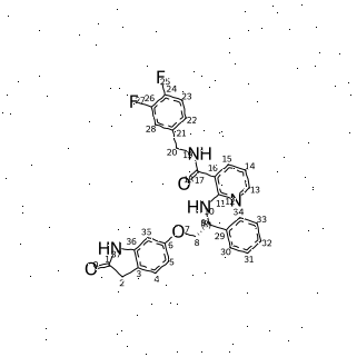 O=C1Cc2ccc(OC[C@H](Nc3ncccc3C(=O)NCc3ccc(F)c(F)c3)c3ccccc3)cc2N1